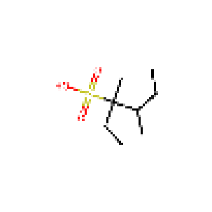 CCC(C)C(C)(CC)S(=O)(=O)O